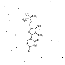 C=P(C)(C)CC[C@H]1OC(n2ccc(=O)[nH]c2=O)[C@H](C)[C@@H]1O